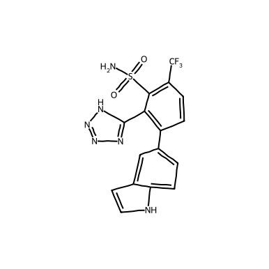 NS(=O)(=O)c1c(C(F)(F)F)ccc(-c2ccc3[nH]ccc3c2)c1-c1nnn[nH]1